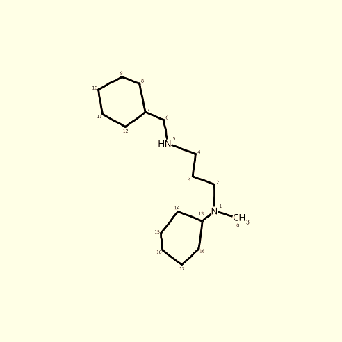 CN(CCCNCC1CCCCC1)C1CCCCC1